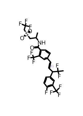 CC(CS(=O)(=O)CC(F)(F)F)NC(=O)c1ccc(/C=C/C(c2ccc(F)c(C(F)(F)F)c2)C(C)(F)F)cc1C(F)(F)F